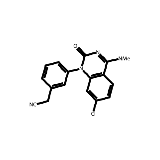 CNc1nc(=O)n(-c2cccc(CC#N)c2)c2cc(Cl)ccc12